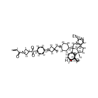 C=CC(=O)N1CC(S(=O)(=O)c2ccc(N3CC(F)(CN4CCC(C(Cn5ccnc5CC)(c5cccc(F)c5)[C@H]5CCC[C@]5(C)OC(N)=O)CC4)C3)cc2)C1